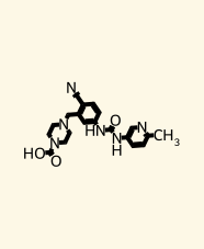 Cc1ccc(NC(=O)Nc2ccc(C#N)c(CN3CCN(C(=O)O)CC3)c2)cn1